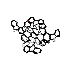 CC(C)(c1c(-c2cccc(F)c2)c(-n2c3ccccc3c3c4c(ccc32)sc2ccccc24)c(C(C)(C)n2c3ccccc3c3ccccc32)c(-n2c3ccccc3c3c4c(ccc32)sc2ccccc24)c1-c1cccc(F)c1)n1c2ccccc2c2ccccc21